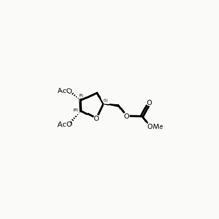 COC(=O)OC[C@@H]1C[C@@H](OC(C)=O)[C@@H](OC(C)=O)O1